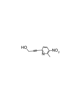 Cc1nc(C#CCO)ccc1[N+](=O)[O-]